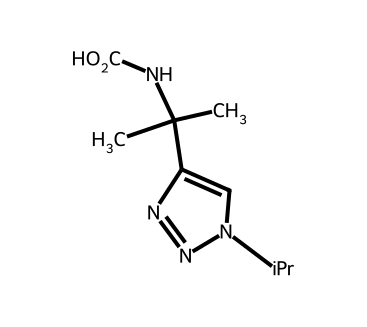 CC(C)n1cc(C(C)(C)NC(=O)O)nn1